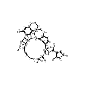 CO[C@H]1C=CCOC(C)(C)C(=O)N=S(=O)(NC(=O)c2cn(C)nc2C)c2ccc3c(c2)N(C[C@@H]2CC[C@H]21)C[C@@]1(CCCc2cc(Cl)ccc21)CO3